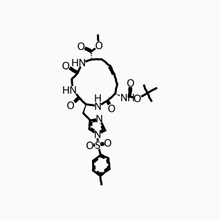 COC(=O)[C@@H]1CC=CC[C@H](NC(=O)OC(C)(C)C)C(=O)N[C@@H](Cc2cn(S(=O)(=O)c3ccc(C)cc3)cn2)C(=O)NCC(=O)N1